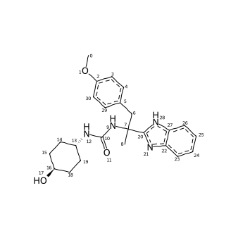 COc1ccc(CC(C)(NC(=O)N[C@H]2CC[C@H](O)CC2)c2nc3ccccc3[nH]2)cc1